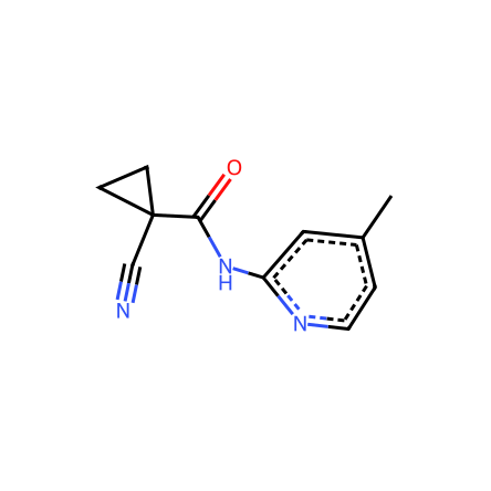 Cc1ccnc(NC(=O)C2(C#N)CC2)c1